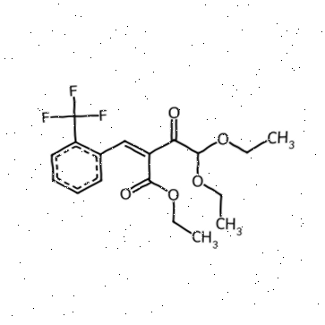 CCOC(=O)C(=Cc1ccccc1C(F)(F)F)C(=O)C(OCC)OCC